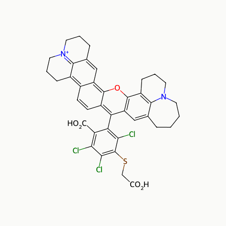 O=C(O)CSc1c(Cl)c(Cl)c(C(=O)O)c(C2=c3ccc4c5c6c(cc4c3Oc3c2cc2c4c3CCCN4CCCC2)CCC[N+]=6CCC5)c1Cl